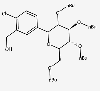 CCCCOC[C@H]1OC(c2ccc(Cl)c(CO)c2)C(OCCCC)[C@@H](OCCCC)[C@@H]1OCCCC